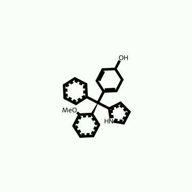 COc1ccccc1[C@](C1=CCC(O)C=C1)(c1ccccc1)c1ccc[nH]1